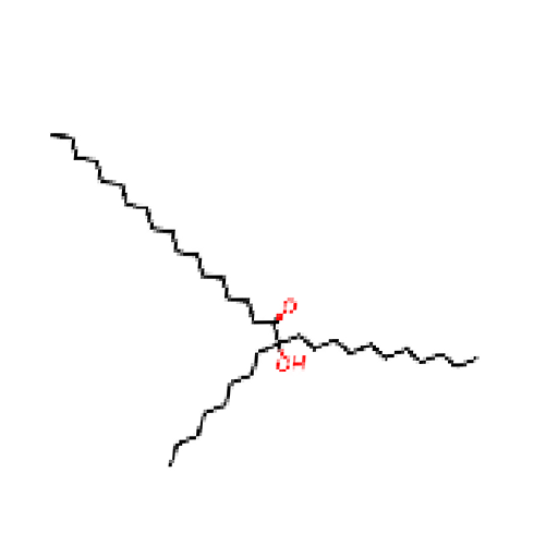 CCCCCCCCCCCCCCCCCC(=O)C(O)(CCCCCCCC)CCCCCCCCCCC